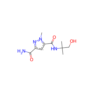 Cn1nc(C(N)=O)[c]c1C(=O)NC(C)(C)CO